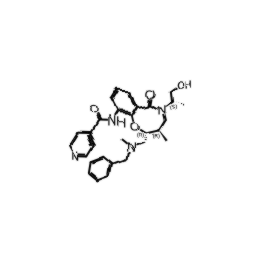 C[C@@H]1CN([C@@H](C)CO)C(=O)c2cccc(NC(=O)c3ccncc3)c2O[C@H]1CN(C)Cc1ccccc1